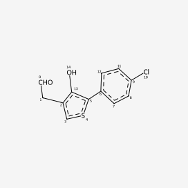 O=CCc1csc(-c2ccc(Cl)cc2)c1O